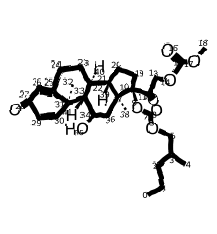 CCCC(C)COC(=O)O[C@]1(C(=O)COC(=O)OC)CC[C@H]2[C@@H]3CCC4=CC(=O)C=C[C@]4(C)[C@H]3C(O)C[C@@]21C